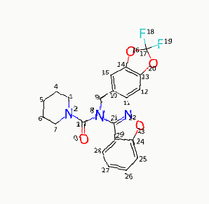 O=C(N1CCCCC1)N(Cc1ccc2c(c1)OC(F)(F)O2)c1noc2ccccc12